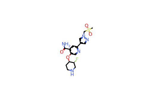 CS(=O)(=O)Cn1cc(-c2cc(C(N)=O)c(O[C@@H]3CCNC[C@@H]3F)cn2)cn1